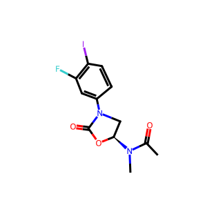 CC(=O)N(C)[C@@H]1CN(c2ccc(I)c(F)c2)C(=O)O1